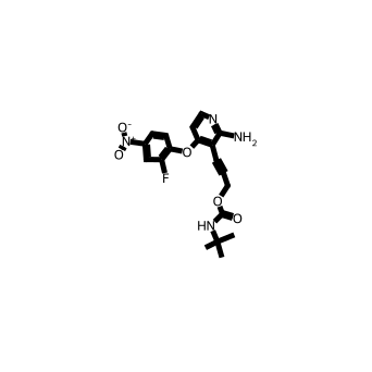 CC(C)(C)NC(=O)OCC#Cc1c(Oc2ccc([N+](=O)[O-])cc2F)ccnc1N